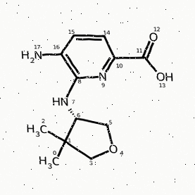 CC1(C)COC[C@H]1Nc1nc(C(=O)O)ccc1N